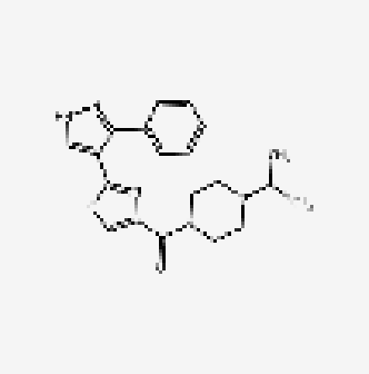 CC(C)N1CCN(C(=O)c2csc(-c3c[nH]nc3-c3ccccc3)n2)CC1